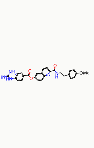 COc1ccc(CCNC(=O)c2ccc3cc(OC(=O)c4ccc(NC(=N)N)cc4)ccc3n2)cc1